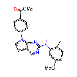 COC(=O)c1ccc(-n2ccc3cnc(Nc4cc(OC)ccc4C)nc32)cc1